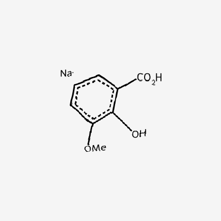 COc1cccc(C(=O)O)c1O.[Na]